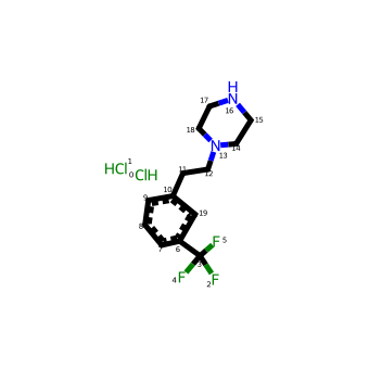 Cl.Cl.FC(F)(F)c1cccc(CCN2CCNCC2)c1